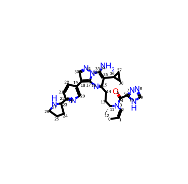 C/C=C\N(C(=O)c1nnc[nH]1)[C@H](C)CCc1nc2c(-c3ccc(C4CCCN4)nc3)cnn2c(N)c1C1CC1